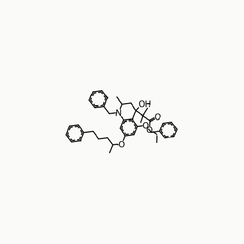 CCOC(=O)C(C)(C)C1(O)CC(C)N(Cc2ccccc2)c2cc(OC(C)CCCc3ccccc3)cc(OCc3ccccc3)c21